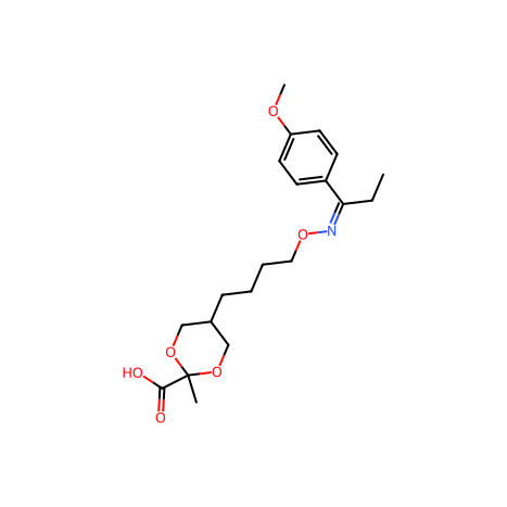 CC/C(=N/OCCCCC1COC(C)(C(=O)O)OC1)c1ccc(OC)cc1